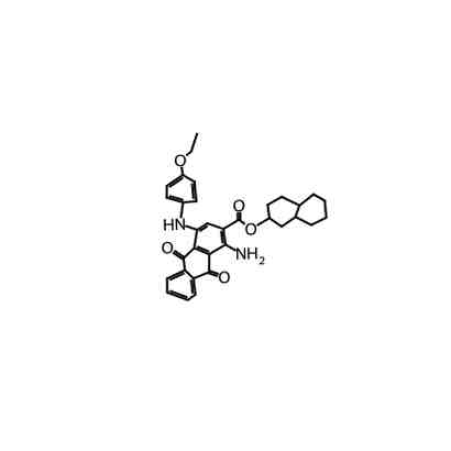 CCOc1ccc(Nc2cc(C(=O)OC3CCC4CCCCC4C3)c(N)c3c2C(=O)c2ccccc2C3=O)cc1